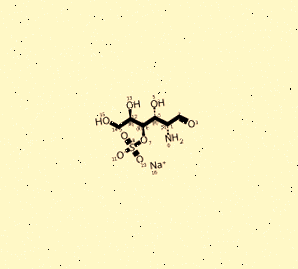 N[C@@H](C=O)[C@@H](O)[C@@H](OS(=O)(=O)[O-])[C@H](O)CO.[Na+]